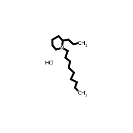 CCCCCCCCCN1CCCCC1CCC.Cl